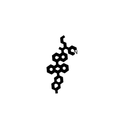 C/C=C\C=C(\c1ccncc1)C(C)c1cccc2c(-c3c4ccccc4c(C4=CC5C=CC(C)=CC5C=C4)c4ccccc34)cccc12